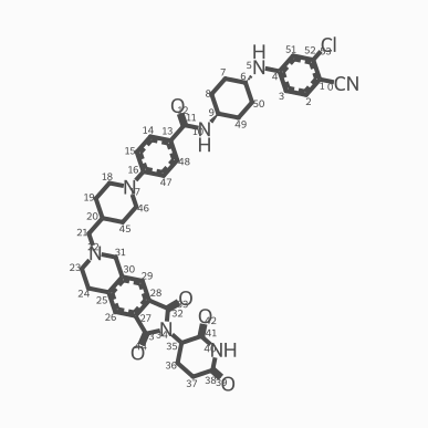 N#Cc1ccc(N[C@H]2CC[C@H](NC(=O)c3ccc(N4CCC(CN5CCc6cc7c(cc6C5)C(=O)N(C5CCC(=O)NC5=O)C7=O)CC4)cc3)CC2)cc1Cl